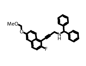 COCOc1ccc2c(C#CCNC(c3ccccc3)c3ccccc3)c(F)ccc2c1